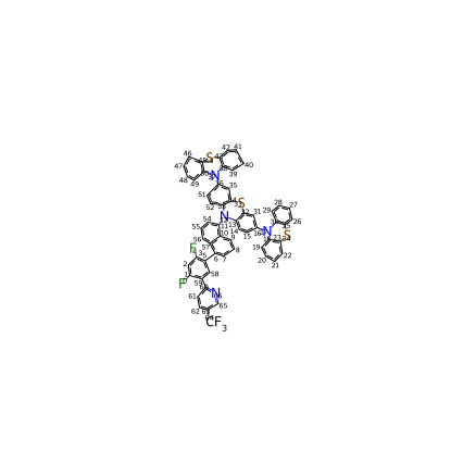 Fc1cc(F)c(-c2cccc3c(N4c5ccc(N6c7ccccc7Sc7ccccc76)cc5Sc5cc(N6c7ccccc7Sc7ccccc76)ccc54)cccc23)cc1-c1ccc(C(F)(F)F)cn1